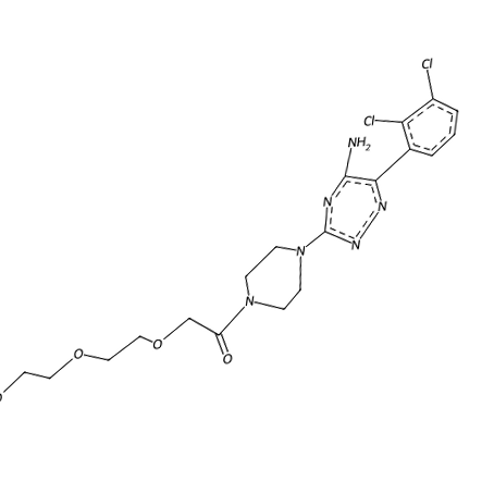 COCCOCCOCC(=O)N1CCN(c2nnc(-c3cccc(Cl)c3Cl)c(N)n2)CC1